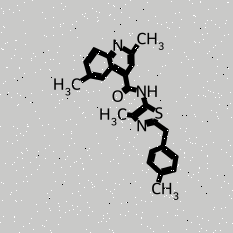 Cc1ccc(Cc2nc(C)c(NC(=O)c3cc(C)nc4ccc(C)cc34)s2)cc1